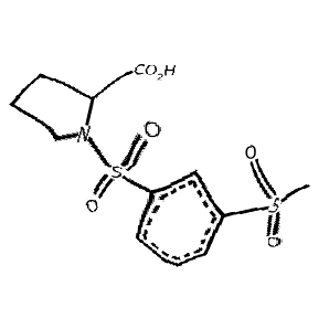 CS(=O)(=O)c1cccc(S(=O)(=O)N2CCC[C]2C(=O)O)c1